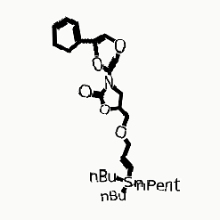 CCCC[CH2][Sn]([CH]=CCOCC1CN(C2=COC=C(C3=CC=CCC3)O2)C(=O)O1)([CH2]CCC)[CH2]CCC